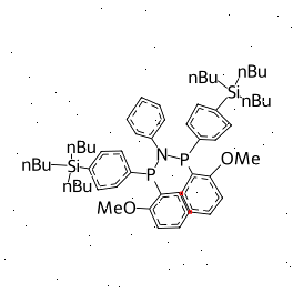 CCCC[Si](CCCC)(CCCC)c1ccc(P(c2ccccc2OC)N(c2ccccc2)P(c2ccc([Si](CCCC)(CCCC)CCCC)cc2)c2ccccc2OC)cc1